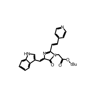 CC(C)(C)OC(=O)CN1C(=O)/C(=C/c2c[nH]c3ccccc23)N=C1/C=C/c1ccncc1